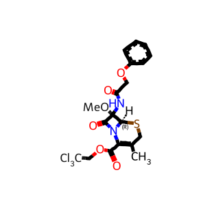 COC1(NC(=O)COc2ccccc2)C(=O)N2C(C(=O)OCC(Cl)(Cl)Cl)=C(C)CS[C@@H]21